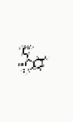 CC(=O)NCCC(O)c1cc(Cl)ccc1[N+](=O)[O-]